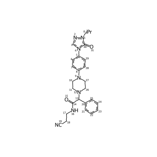 CC(C)n1ncn(-c2ccc(N3CCN(C(C(=O)NCCC#N)c4ccccc4)CC3)cc2)c1=O